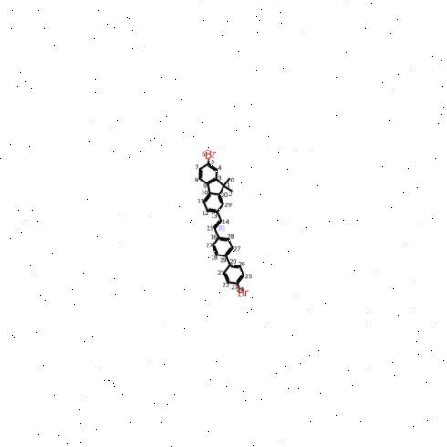 CC1(C)c2cc(Br)ccc2-c2ccc(/C=C/c3ccc(-c4ccc(Br)cc4)cc3)cc21